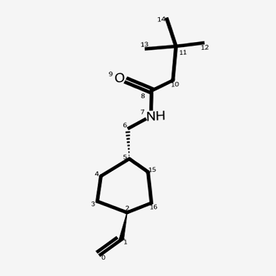 C=C[C@H]1CC[C@H](CNC(=O)CC(C)(C)C)CC1